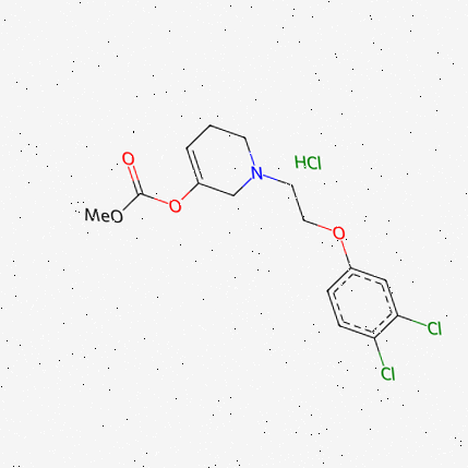 COC(=O)OC1=CCCN(CCOc2ccc(Cl)c(Cl)c2)C1.Cl